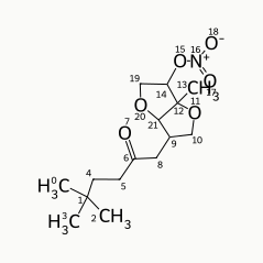 CC(C)(C)CCC(=O)CC1COC2(C)C(O[N+](=O)[O-])COC12